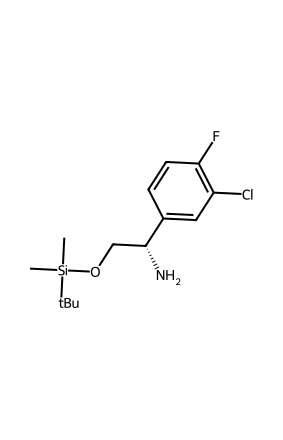 CC(C)(C)[Si](C)(C)OC[C@@H](N)c1ccc(F)c(Cl)c1